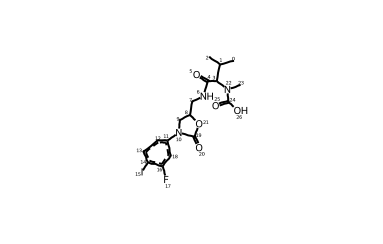 CC(C)C(C(=O)NCC1CN(c2ccc(I)c(F)c2)C(=O)O1)N(C)C(=O)O